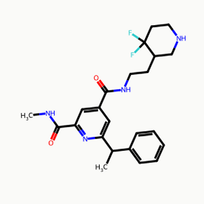 CNC(=O)c1cc(C(=O)NCCC2CNCCC2(F)F)cc(C(C)c2ccccc2)n1